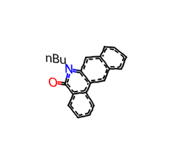 CCCCn1c(=O)c2ccccc2c2cc3ccccc3cc21